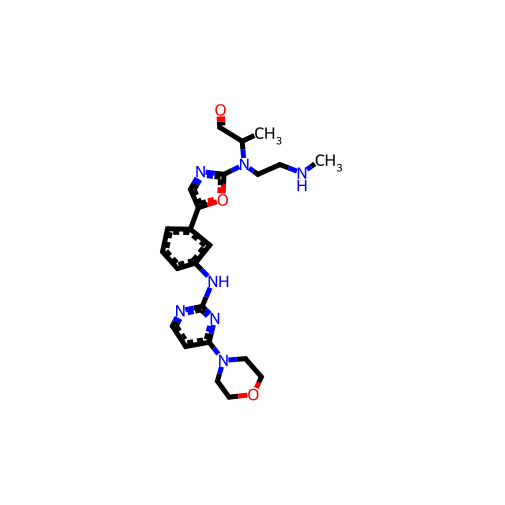 CNCCN(c1ncc(-c2cccc(Nc3nccc(N4CCOCC4)n3)c2)o1)C(C)C=O